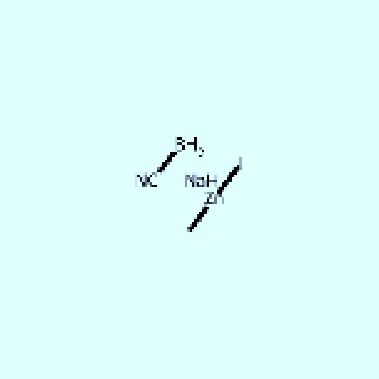 BC#N.[I][Zn][I].[NaH]